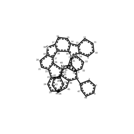 c1ccc(-c2cc(-n3c4ccccc4c4ccc5sc6ccc7c8ccccc8n(-c8ccccc8)c7c6c5c43)nc3ccccc23)cc1